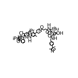 Cc1cc(Nc2ncc(Cl)c(Nc3ccccc3S(=O)(=O)C(C)C)n2)c(OC(C)C)cc1C1CCN(C(=O)CCC(=O)NC(C(=O)N2C[C@H](O)C[C@H]2C(=O)NCc2ccc(-c3scnc3C)cc2)C(C)(C)C)CC1